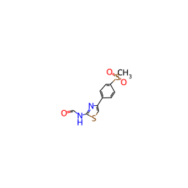 CS(=O)(=O)c1ccc(-c2csc(NC=O)n2)cc1